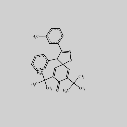 Cc1cccc(C2=NOC3(C=C(C(C)(C)C)C(=O)C(C(C)(C)C)=C3)C2c2ccccc2)c1